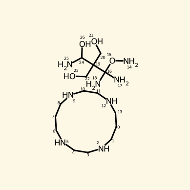 C1CNCCNCCCNCCNC1.NOC(N)(N)C(CO)(CO)C(N)O